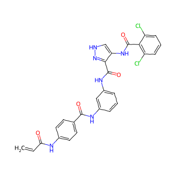 C=CC(=O)Nc1ccc(C(=O)Nc2cccc(NC(=O)c3n[nH]cc3NC(=O)c3c(Cl)cccc3Cl)c2)cc1